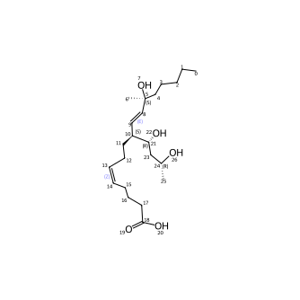 CCCCC[C@](C)(O)/C=C/[C@H](CC/C=C\CCCC(=O)O)[C@H](O)C[C@@H](C)O